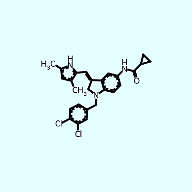 Cc1cc(C)c(C=C2CN(Cc3ccc(Cl)c(Cl)c3)c3ccc(NC(=O)C4CC4)cc32)[nH]1